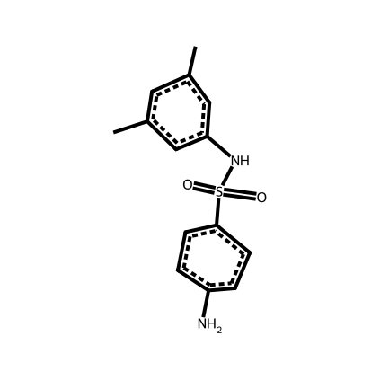 Cc1cc(C)cc(NS(=O)(=O)c2ccc(N)cc2)c1